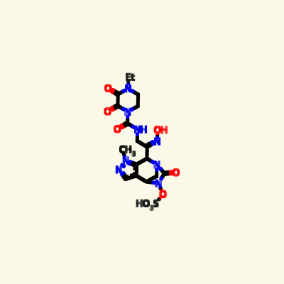 CCN1CCN(C(=O)NC/C(=N\O)C2c3c(cnn3C)C3CN2C(=O)N3OS(=O)(=O)O)C(=O)C1=O